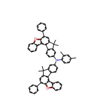 Cc1ccc(N(c2ccc3c(c2)C(C)(C)c2cc(-c4ccccc4)c4oc5ccccc5c4c2-3)c2ccc3c(c2)C(C)(C)c2cc(-c4ccccc4)c4oc5ccccc5c4c2-3)c(C)c1